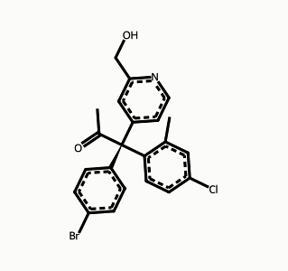 CC(=O)[C@](c1ccc(Br)cc1)(c1ccnc(CO)c1)c1ccc(Cl)cc1C